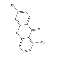 Cc1cccc2oc3cc(Cl)ccc3c(=O)c12